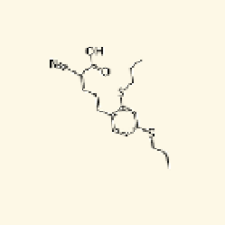 CCCSc1ccc(C=CC=C(C#N)C(=O)O)c(SCCC)c1